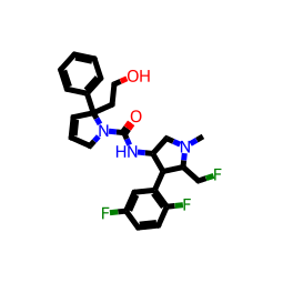 CN1CC(NC(=O)N2CC=CC2(CCO)c2ccccc2)C(c2cc(F)ccc2F)C1CF